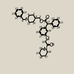 O=C(OCC1CCN(Cc2ccccc2)CC1)C(c1ccccc1)c1cccc(OCC(=O)N2CCCCC2)c1